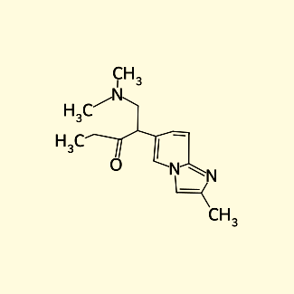 CCC(=O)C(CN(C)C)c1ccc2nc(C)cn2c1